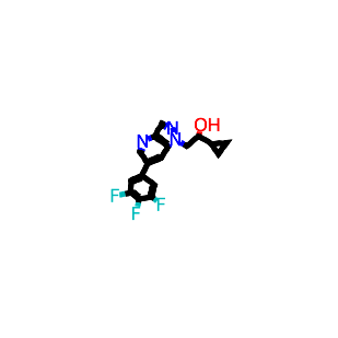 OC(Cn1ncc2ncc(-c3cc(F)c(F)c(F)c3)cc21)C1CC1